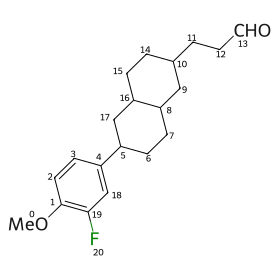 COc1ccc(C2CCC3CC(CCC=O)CCC3C2)cc1F